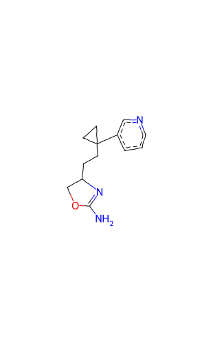 NC1=NC(CCC2(c3cccnc3)CC2)CO1